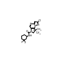 C[C@@]1(C(F)(F)F)CN(C(=O)NC2CCCC(F)(F)C2)c2cnc3cc(Cl)nn3c21